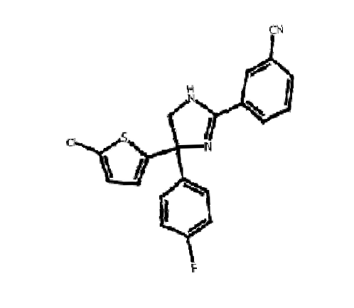 N#Cc1cccc(C2=NC(c3ccc(F)cc3)(c3ccc(Cl)s3)CN2)c1